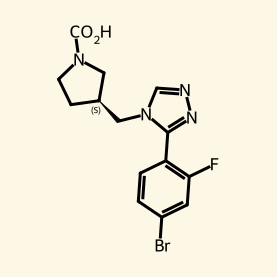 O=C(O)N1CC[C@H](Cn2cnnc2-c2ccc(Br)cc2F)C1